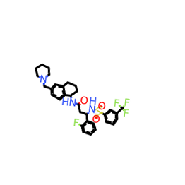 O=C(CC(NS(=O)(=O)c1cccc(C(F)(F)F)c1)c1ccccc1F)NC1CCCc2cc(CN3CCCCC3)ccc21